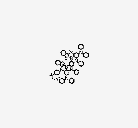 CC1(C)CCC(C)(C)c2cc(N3c4cc(N(c5ccccc5)c5ccccc5)cc5c4B(c4cc6c(cc4N5c4ccccc4)N(c4ccccc4)c4cc(N(c5ccccc5)c5ccccc5)cc5c4B6c4sc6ccccc6c4C5(C)C)c4sc5ccccc5c43)ccc21